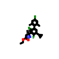 CCOC(=O)C[C@](N)([SiH3])c1c(F)c(-c2c(C)cc(F)cc2C)cc(C2CC2)c1F